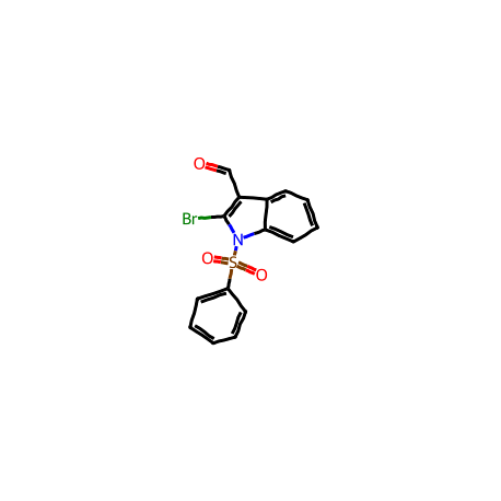 O=Cc1c(Br)n(S(=O)(=O)c2ccccc2)c2ccccc12